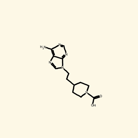 Nc1ncnc2c1ncn2CCC1CCN(C(=O)O)CC1